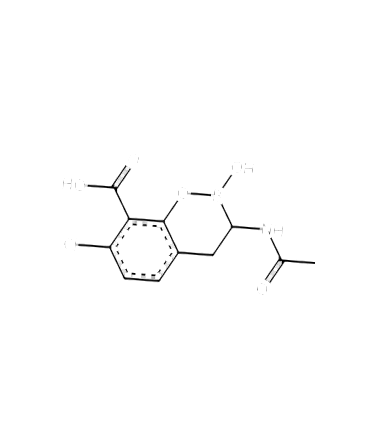 CC(=O)NC1Cc2ccc(Cl)c(C(=O)O)c2OB1O